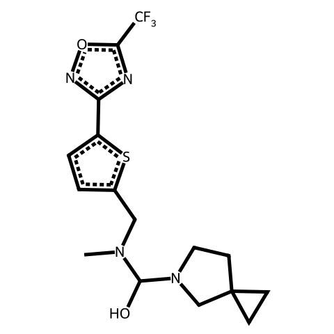 CN(Cc1ccc(-c2noc(C(F)(F)F)n2)s1)C(O)N1CCC2(CC2)C1